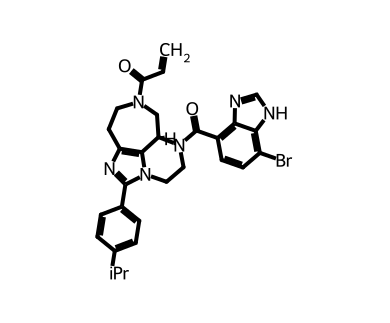 C=CC(=O)N1CCc2nc(-c3ccc(C(C)C)cc3)n3c2[C@H](C1)N(C(=O)c1ccc(Br)c2[nH]cnc12)CC3